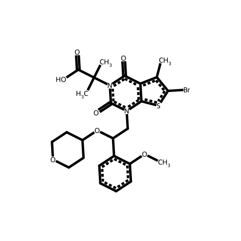 COc1ccccc1C(Cn1c(=O)n(C(C)(C)C(=O)O)c(=O)c2c(C)c(Br)sc21)OC1CCOCC1